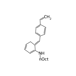 C=Cc1ccc(C=C2CC=CC=C2NCCCCCCCC)cc1